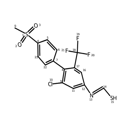 CS(=O)(=O)c1ccc(-c2c(Cl)cc(/N=C/S)cc2C(F)(F)F)cc1